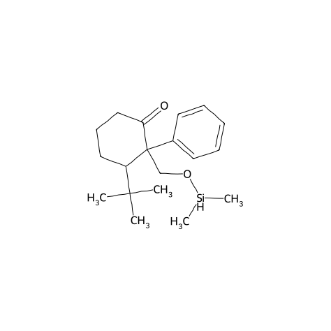 C[SiH](C)OCC1(c2ccccc2)C(=O)CCCC1C(C)(C)C